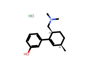 C[C@H]1C=C(c2cccc(O)c2)[C@@H](CN(C)C)CC1.Cl